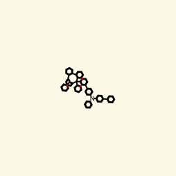 c1ccc(-c2ccc(N(c3ccccc3)c3ccc(-c4cccc(C5(c6ccccc6)c6ccccc6-c6ccccc6-c6cccc5c6-c5ccccc5)c4)cc3)cc2)cc1